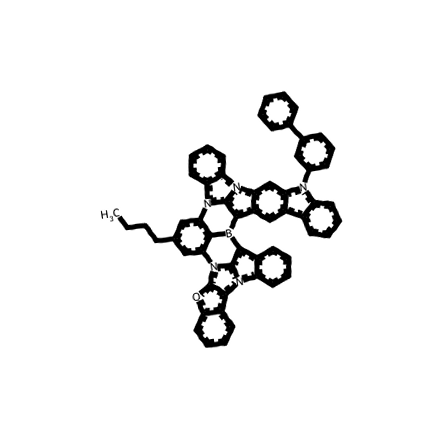 CCCCc1cc2c3c(c1)-n1c4oc5ccccc5c4n4c5ccccc5c(c14)B3c1c3cc4c5ccccc5n(-c5cccc(-c6ccccc6)c5)c4cc3n3c4ccccc4n-2c13